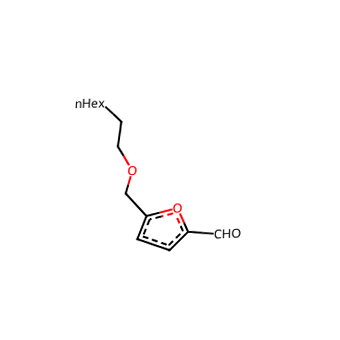 CCCCCCCCOCc1ccc(C=O)o1